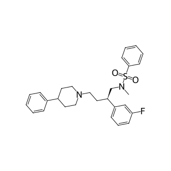 CN(C[C@H](CCN1CCC(c2ccccc2)CC1)c1cccc(F)c1)S(=O)(=O)c1ccccc1